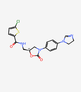 O=C(NC[C@H]1CN(c2ccc(N3C=NCC3)cc2)C(=O)O1)c1ccc(Cl)s1